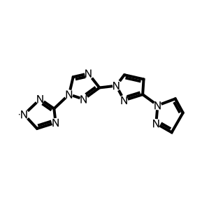 C1=NC(n2cnc(-n3ccc(-n4cccn4)n3)n2)=N[N]1